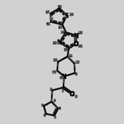 O=C(CC1C=CCC1)N1CCC(c2nc(-c3cccs3)no2)CC1